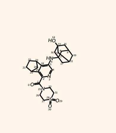 O=C(c1ncc(NC23CC4CC(CC(O)(C4)C2)C3)c2c1C1CCC2C1)N1CCS(=O)(=O)CC1